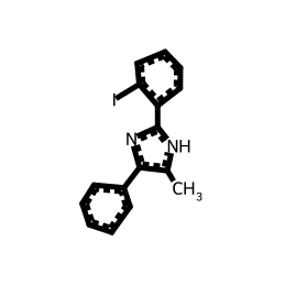 Cc1[nH]c(-c2ccccc2I)nc1-c1ccccc1